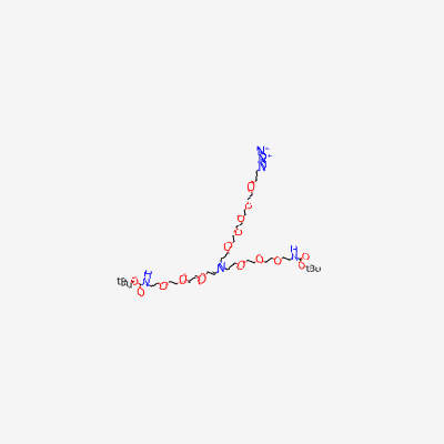 CC(C)(C)OC(=O)NCCOCCOCCOCCN(CCOCCOCCOCCNC(=O)OC(C)(C)C)CCOCCOCCOCCOCCOCCN=[N+]=[N-]